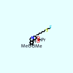 COc1cc2c(cc1OC)[C@@H]1C[C@H](OC(=O)C(C)C)[C@@H](CCCCCCCSCCF)CN1CC2